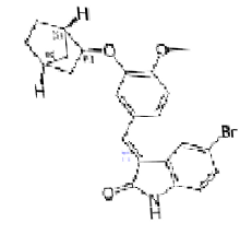 COc1ccc(/C=C2/C(=O)Nc3ccc(Br)cc32)cc1O[C@H]1C[C@@H]2CC[C@H]1C2